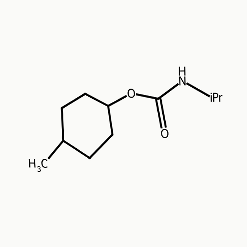 CC1CCC(OC(=O)NC(C)C)CC1